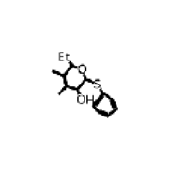 CCC1OC(Sc2ccccc2)C(O)C(C)C1C